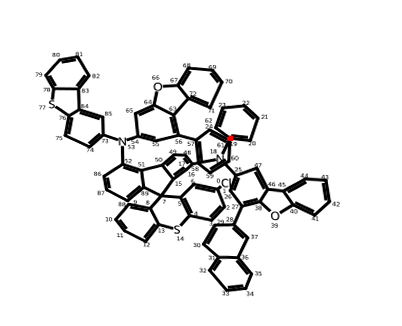 Clc1ccc2c(c1)C1(c3ccccc3S2)c2cc(N(c3ccccc3)c3cc(-c4ccc5ccccc5c4)c4oc5ccccc5c4c3)ccc2-c2c(N(c3cc(-c4ccccc4)c4c(c3)oc3ccccc34)c3ccc4sc5ccccc5c4c3)cccc21